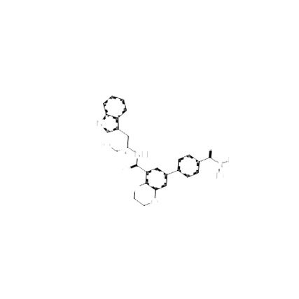 CCN(CC)C(=O)c1ccc(-c2cc3c(c(C(=O)N[C@@H](CO)Cc4c[nH]c5ccccc45)c2)OCCO3)cc1